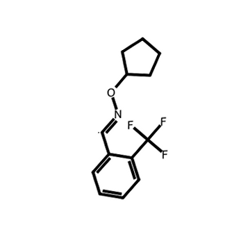 FC(F)(F)c1ccccc1/[C]=N/OC1CCCC1